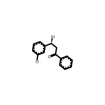 CC[C@@H](CC(=O)c1ccccc1)c1cccc(Cl)c1